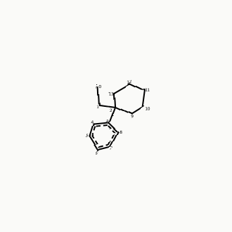 [CH2]CC1(c2ccccc2)CCCCC1